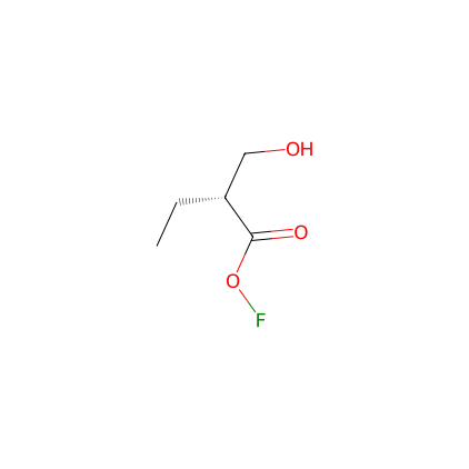 CC[C@H](CO)C(=O)OF